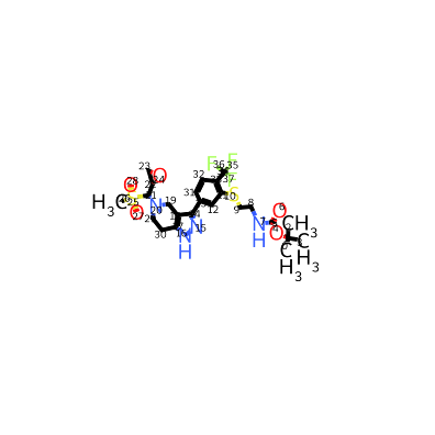 CC(C)(C)OC(=O)NCCSc1cc(-c2n[nH]c3c2CN(C(C2CO2)S(C)(=O)=O)CC3)ccc1C(F)(F)F